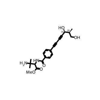 COC(=O)C(NC(=O)c1ccc(C#CC#C[C@@H](O)[C@@H](C)CO)cc1)C(C)(C)N